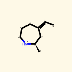 C/C=C1/CCCN[C@H](C)C1